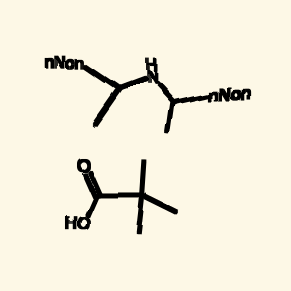 CC(C)(C)C(=O)O.CCCCCCCCCC(C)NC(C)CCCCCCCCC